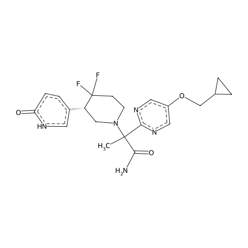 CC(C(N)=O)(c1ncc(OCC2CC2)cn1)N1CCC(F)(F)[C@@H](c2ccc(=O)[nH]c2)C1